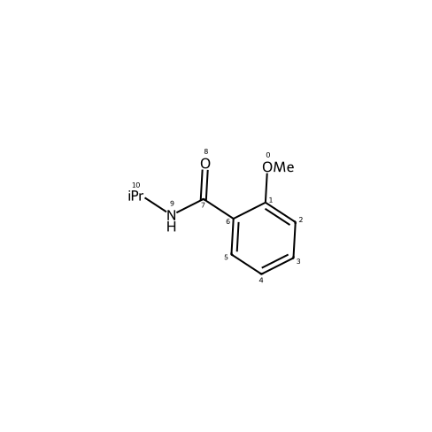 COc1ccccc1C(=O)NC(C)C